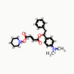 CN(C)c1ccc(C(Cc2ccccc2)OC(=O)/C=C/C(=O)ON2CCCCC2)cc1